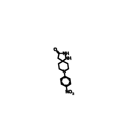 O=C1CC2(CCN(c3ccc([N+](=O)[O-])cc3)CC2)NN1